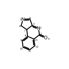 O=C1N=C2C=NCC2c2ccccc21